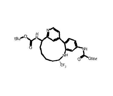 COC(=O)Nc1ccc2c(c1)N[C@H](C(F)(F)F)CCCCC(NC(=O)OC(C)(C)C)c1cc-2ccn1